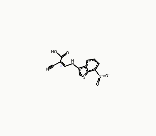 N#C/C(=C/Nc1csc2c([N+](=O)[O-])cccc12)C(=O)O